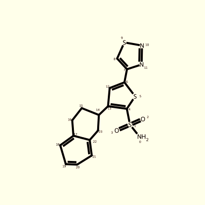 NS(=O)(=O)c1sc(-c2csnn2)cc1C1CCc2ccccc2C1